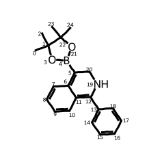 CC1(C)OB(C2=c3ccccc3=C(c3ccccc3)NC2)OC1(C)C